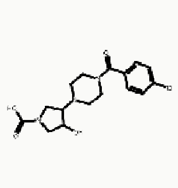 O=C(O)N1CC(O)C(N2CCN(C(=O)c3ccc(Cl)cc3)CC2)C1